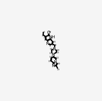 CCc1cc2ncc(CN3CCN(c4ccc5nc(C)cn5c4)CC3)cc2[nH]c1=O